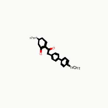 CCCCCCCCc1ccc(-c2ccc(CC(=O)C3CCC(CCCCC)CC3=O)cc2)cc1